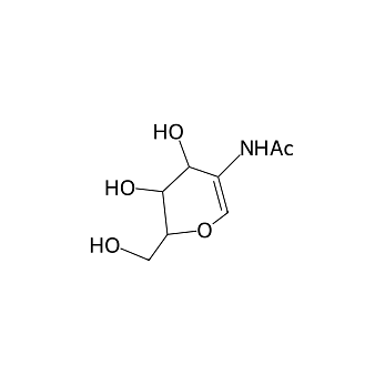 CC(=O)NC1=COC(CO)C(O)C1O